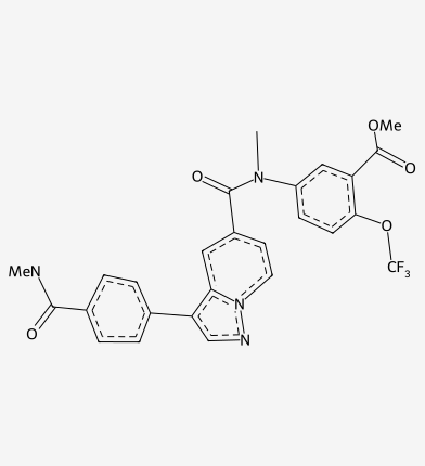 CNC(=O)c1ccc(-c2cnn3ccc(C(=O)N(C)c4ccc(OC(F)(F)F)c(C(=O)OC)c4)cc23)cc1